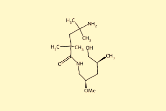 CO[C@@H](CNC(=O)C(C)(C)CC(C)(C)N)C[C@H](C)CO